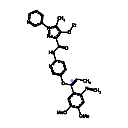 C=Nc1cc(OC)c(OC)cc1/C(=C\C)Oc1ccc(NC(=O)c2nn(-c3cccnc3)c(C)c2OCC)nc1